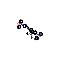 CC1(C)c2cc(/C=C/c3ccc(N4c5ccccc5Oc5ccccc54)cc3)ccc2-c2ccc(N3C4=C(CCC=C4)Oc4ccccc43)cc21